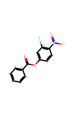 O=C(Oc1ccc([N+](=O)[O-])c(F)c1)c1ccccc1